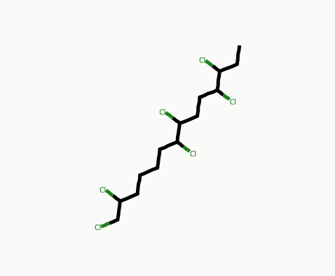 CCC(Cl)C(Cl)CCC(Cl)C(Cl)CCCCC(Cl)CCl